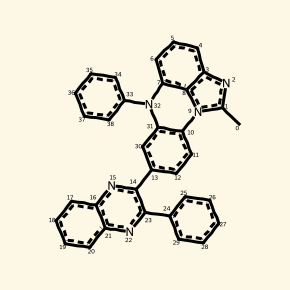 Cc1nc2cccc3c2n1-c1ccc(-c2nc4ccccc4nc2-c2ccccc2)cc1N3c1ccccc1